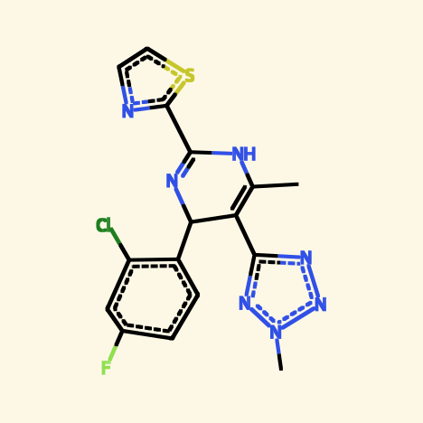 CC1=C(c2nnn(C)n2)C(c2ccc(F)cc2Cl)N=C(c2nccs2)N1